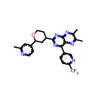 Cc1cc(C2CC(c3nc(-c4ccc(C(F)(F)F)nc4)c4nc(C)c(C)nc4n3)CCO2)ccn1